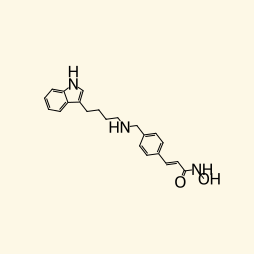 O=C(/C=C/c1ccc(CNCCCCc2c[nH]c3ccccc23)cc1)NO